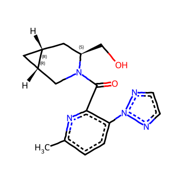 Cc1ccc(-n2nccn2)c(C(=O)N2C[C@@H]3C[C@@H]3C[C@H]2CO)n1